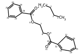 CCCC.O=C(OCCOC(=O)c1ccccc1)c1ccccc1